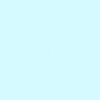 CCCCN(C)CCCC.O=S(=O)(O)c1ccccc1